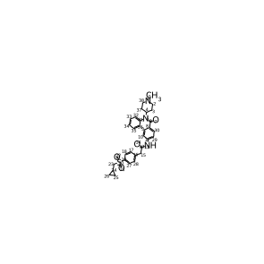 CN1CCC(N(C(=O)c2ccc(NC(=O)Cc3ccc(S(=O)(=O)CC4CC4)cc3)cc2)c2ccccc2)CC1